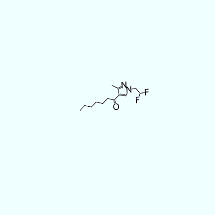 CCCCCCC(=O)c1cn(CC(F)F)nc1C